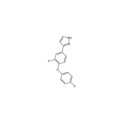 Fc1ccc(Oc2ccc(-c3cc[nH]n3)cc2F)cc1